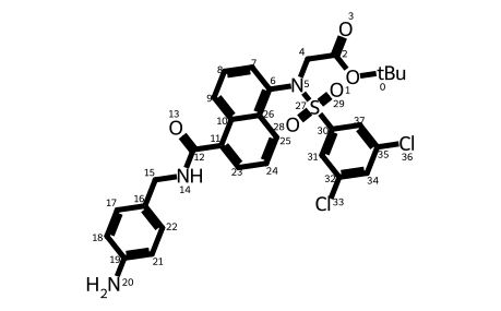 CC(C)(C)OC(=O)CN(c1cccc2c(C(=O)NCc3ccc(N)cc3)cccc12)S(=O)(=O)c1cc(Cl)cc(Cl)c1